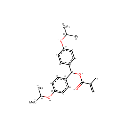 C=C(C)C(=O)OC(c1ccc(OC(OC)C(C)C)cc1)c1ccc(OC(OC)C(C)(C)C)cc1